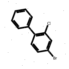 Clc1cc(Br)ccc1-c1ccccc1